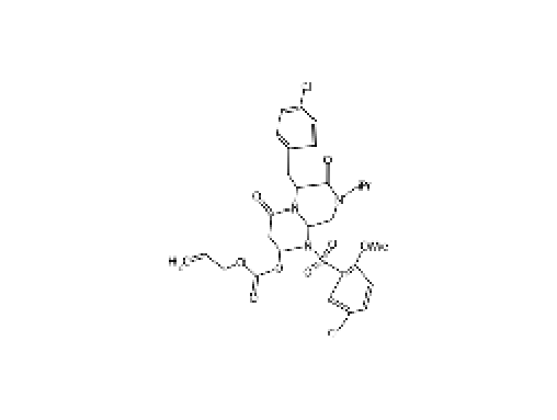 C=CCOC(=O)OC1CC(=O)N2C(Cc3ccc(Cl)cc3)C(=O)N(C(C)C)CC2N1S(=O)(=O)c1cc(Cl)ccc1OC